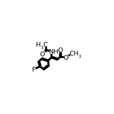 COC(=O)C=C(NC(C)=O)c1ccc(F)cc1